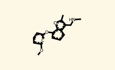 CNCc1c(C)oc2c(Oc3cccc(OC)c3)cccc12